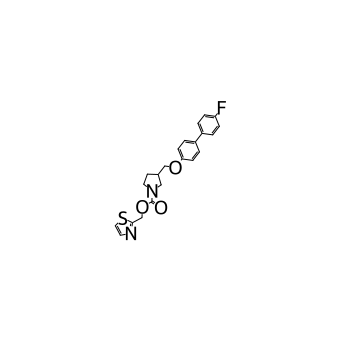 O=C(OCc1nccs1)N1CCC(COc2ccc(-c3ccc(F)cc3)cc2)C1